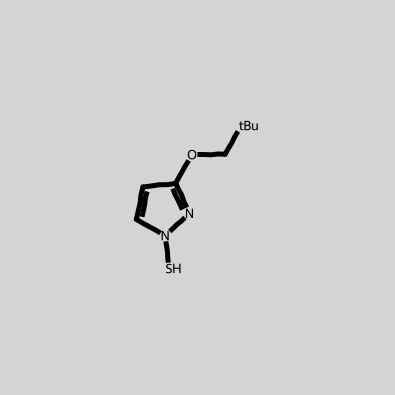 CC(C)(C)COc1ccn(S)n1